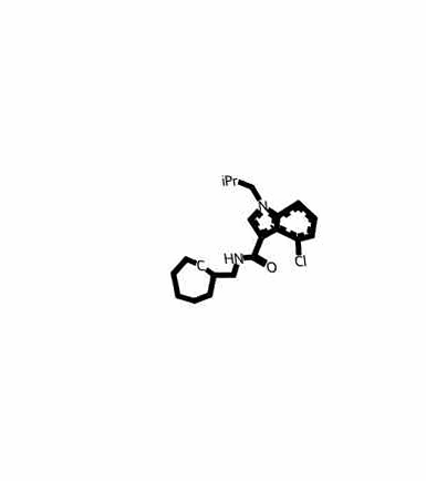 CC(C)Cn1cc(C(=O)NCC2CCCCCC2)c2c(Cl)cccc21